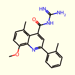 COc1ccc(C)c2c(C(=O)NC(=N)N)cc(-c3ccccc3C)nc12